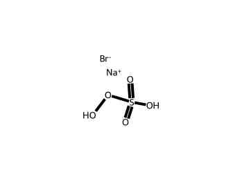 O=S(=O)(O)OO.[Br-].[Na+]